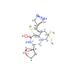 O=C1NC(C23CCC(CC2)O3)CN2CC(F)(F)Cc3c(-c4cn[nH]c4)sc1c32